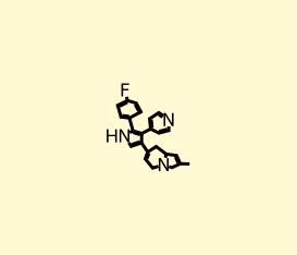 CC1=CC2CC(c3c[nH]c(-c4ccc(F)cc4)c3-c3ccncc3)=CCN2C1